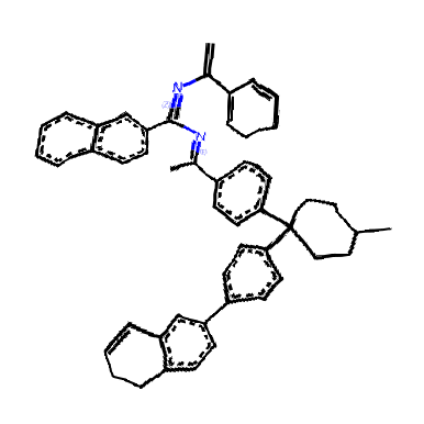 C=C(/N=C(\N=C(/C)c1ccc(C2(c3ccc(-c4ccc5c(c4)C=CCC5)cc3)CCC(C)CC2)cc1)c1ccc2ccccc2c1)C1=CCCC=C1